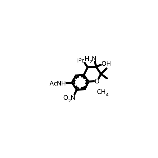 C.CC(=O)Nc1cc2c(cc1[N+](=O)[O-])OC(C)(C)C(N)(O)C2C(C)C